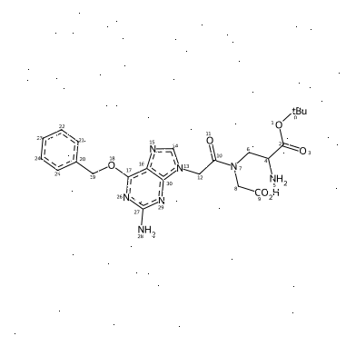 CC(C)(C)OC(=O)C(N)CN(CC(=O)O)C(=O)Cn1cnc2c(OCc3ccccc3)nc(N)nc21